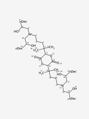 CCCCCCCCCCC(O)CN(CCCC(C)(C)C1OC(=O)C(C(C)(C)CCCN(CC(O)CCCCCCCCCC)CC(O)CCCCCCCCCC)OC1=O)CC(O)CCCCCCCCCC